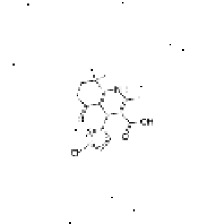 CC1=C(C(=O)O)C(c2ccc(Cl)s2)C2=C(N1)C(C)(C)CCC2=O